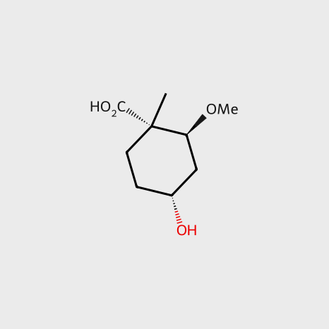 CO[C@H]1C[C@H](O)CC[C@]1(C)C(=O)O